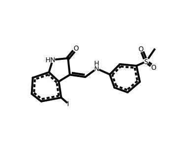 CS(=O)(=O)c1cccc(N/C=C2\C(=O)Nc3cccc(I)c32)c1